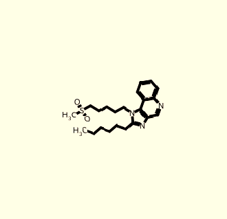 CCCCCCc1nc2cnc3ccccc3c2n1CCCCCS(C)(=O)=O